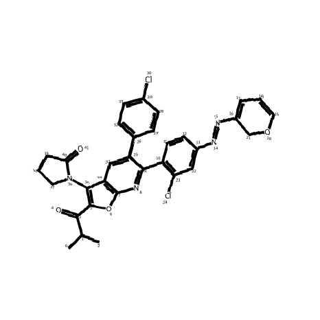 CC(C)C(=O)c1oc2nc(-c3ccc(N=NC4=CC=COC4)cc3Cl)c(-c3ccc(Cl)cc3)cc2c1N1CCCC1=O